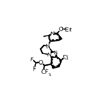 CCOc1ccc(N2CCCn3c2nc2c(Cl)ccc(C(OC(F)F)C(F)(F)F)c23)c(C)n1